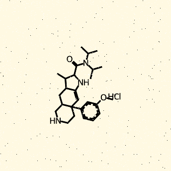 COc1cccc(C23C=C4NC(C(=O)N(C(C)C)C(C)C)C(C)C4CC2CNCC3)c1.Cl